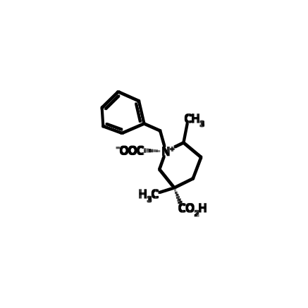 CC1CC[C@](C)(C(=O)O)C[N@+]1(Cc1ccccc1)C(=O)[O-]